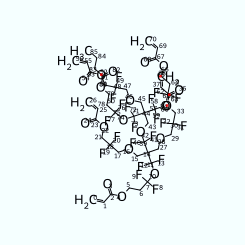 C=CC(=O)OCCC(F)(F)OC(F)(F)C(COCC(F)(F)COC(=O)C=C)(COCC(F)(F)COC(=O)C=C)C(F)(F)OCC(COCC(F)(F)COC(=O)C=C)(C(F)(F)OC(F)(F)CCOC(=O)C=C)C(F)(F)OC(F)(F)CCOC(=O)CCC